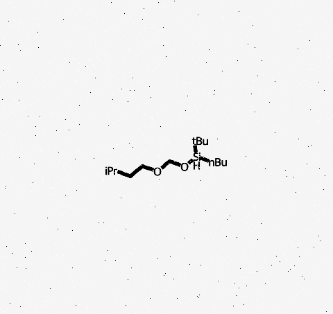 CCCC[SiH](OCOCCC(C)C)C(C)(C)C